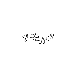 CC(C)(C)C(=O)NCc1ccc(Cl)c(C(=O)Nc2ccc3cnn(C4CCC(C(F)(F)F)CC4)c(=O)c3c2)c1